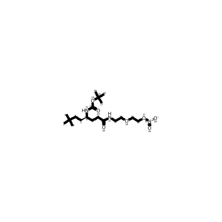 CC(C)(C)CC[C@H](CCC(=O)NCCOCCO[N+](=O)[O-])NC(=O)OC(C)(C)C